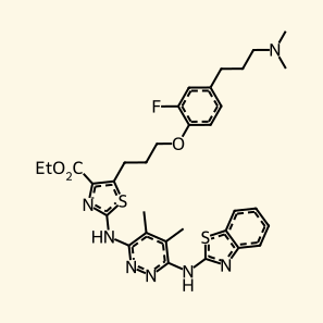 CCOC(=O)c1nc(Nc2nnc(Nc3nc4ccccc4s3)c(C)c2C)sc1CCCOc1ccc(CCCN(C)C)cc1F